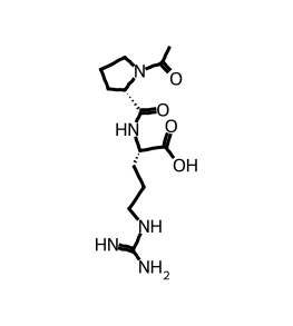 CC(=O)N1CCC[C@H]1C(=O)N[C@@H](CCCNC(=N)N)C(=O)O